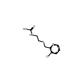 O=C(O)NCCSCc1ncccc1Cl